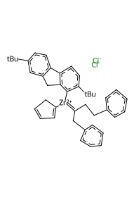 CC(C)(C)c1ccc2c(c1)Cc1c-2ccc(C(C)(C)C)[c]1/[Zr+2]([C]1=CC=CC1)=[C](\CCc1ccccc1)Cc1ccccc1.[Cl-].[Cl-]